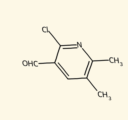 Cc1cc(C=O)c(Cl)nc1C